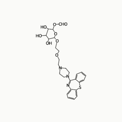 O=COC1OC(OCCOCCN2CCN(C3=Nc4ccccc4Sc4ccccc43)CC2)C(O)C(O)C1O